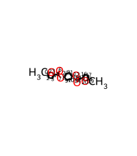 Cc1ccc(C(=O)Oc2ccc(OC(=O)c3ccc(C)o3)cc2)o1